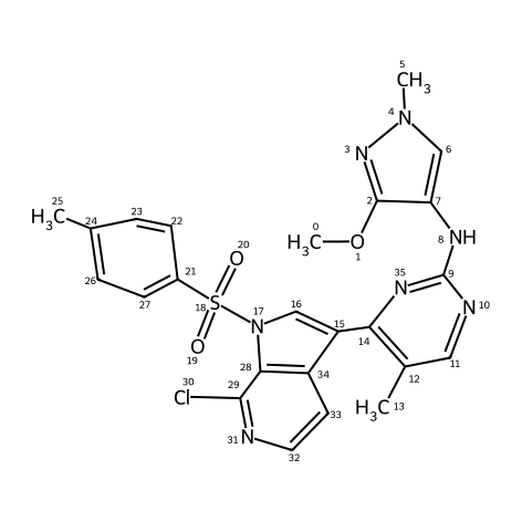 COc1nn(C)cc1Nc1ncc(C)c(-c2cn(S(=O)(=O)c3ccc(C)cc3)c3c(Cl)nccc23)n1